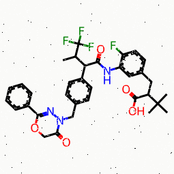 CC(C(C(=O)Nc1cc(CC(C(=O)O)C(C)(C)C)ccc1F)c1ccc(CN2N=C(c3ccccc3)OCC2=O)cc1)C(F)(F)F